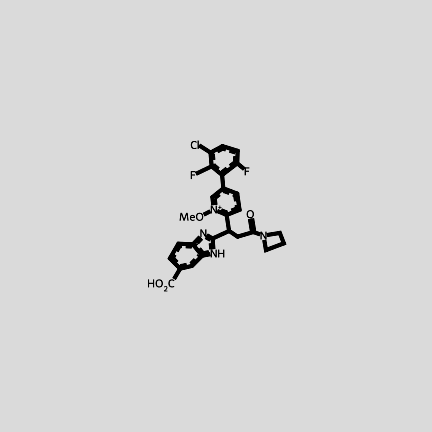 CO[n+]1cc(-c2c(F)ccc(Cl)c2F)ccc1C(CC(=O)N1CCC1)c1nc2ccc(C(=O)O)cc2[nH]1